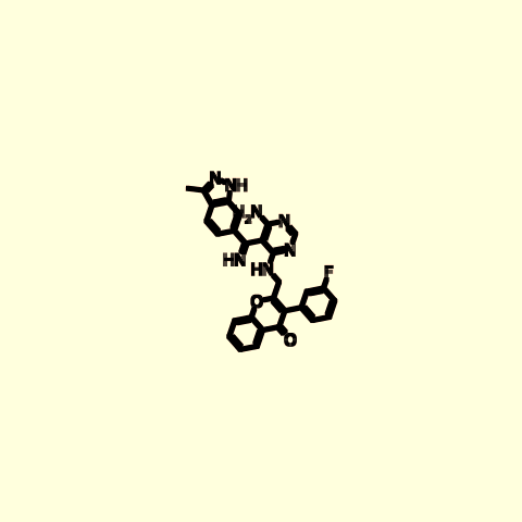 Cc1n[nH]c2cc(C(=N)c3c(N)ncnc3NCc3oc4ccccc4c(=O)c3-c3cccc(F)c3)ccc12